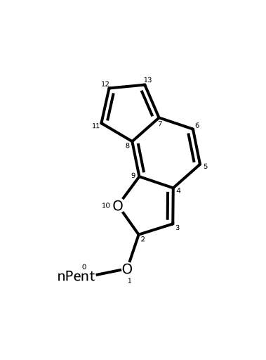 CCCCCOC1C=c2ccc3c(c2O1)C=CC=3